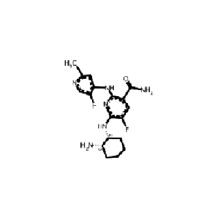 Cc1cc(Nc2nc(N[C@@H]3CCCC[C@@H]3N)c(F)cc2C(N)=O)c(F)cn1